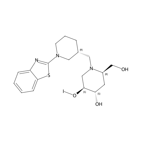 OC[C@H]1C[C@H](O)[C@@H](OI)CN1C[C@H]1CCCN(c2nc3ccccc3s2)C1